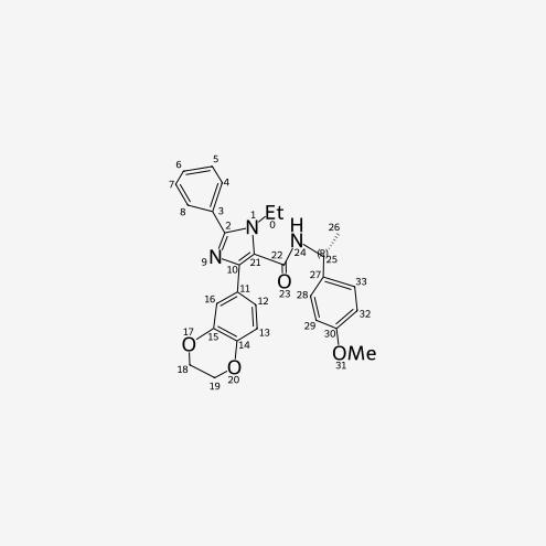 CCn1c(-c2ccccc2)nc(-c2ccc3c(c2)OCCO3)c1C(=O)N[C@H](C)c1ccc(OC)cc1